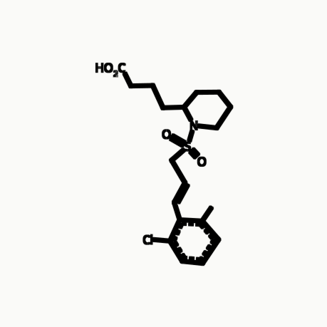 Cc1cccc(Cl)c1C=CCS(=O)(=O)N1CCCCC1CCCC(=O)O